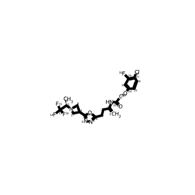 C=C(CCc1nnc(C2CN([C@@H](C)C(F)(F)F)C2)o1)NC(=O)COc1ccc(Cl)c(F)c1